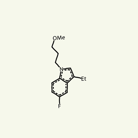 CCc1cn(CCCOC)c2ccc(F)cc12